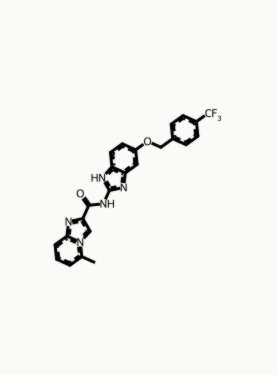 Cc1cccc2nc(C(=O)Nc3nc4cc(OCc5ccc(C(F)(F)F)cc5)ccc4[nH]3)cn12